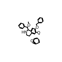 COc1cc2c(cc1OCc1ccccc1)C(C(OC)c1ccccc1)NCC2.c1cc2cc(c1)OC2